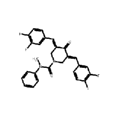 CN(C(=O)N1C/C(=C\c2ccc(F)c(F)c2)C(=O)/C(=C/c2ccc(F)c(F)c2)C1)c1ccccc1